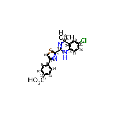 CC1(C)N=C(c2nc(-c3ccc(C(=O)O)cc3)cs2)Nc2ccc(Cl)cc21